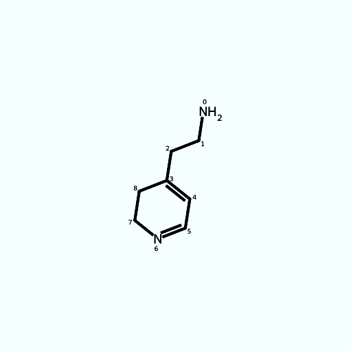 NCCC1=CC=NCC1